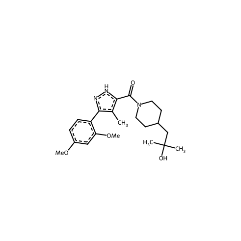 COc1ccc(-c2n[nH]c(C(=O)N3CCC(CC(C)(C)O)CC3)c2C)c(OC)c1